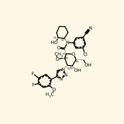 COc1cc(F)c(F)cc1-c1cn([C@H]2[C@@H](O)[C@@H](CO)O[C@@H](C(=O)N(c3cc(Cl)cc(C#N)c3)[C@H]3CCCC[C@@H]3O)[C@@H]2OC)nn1